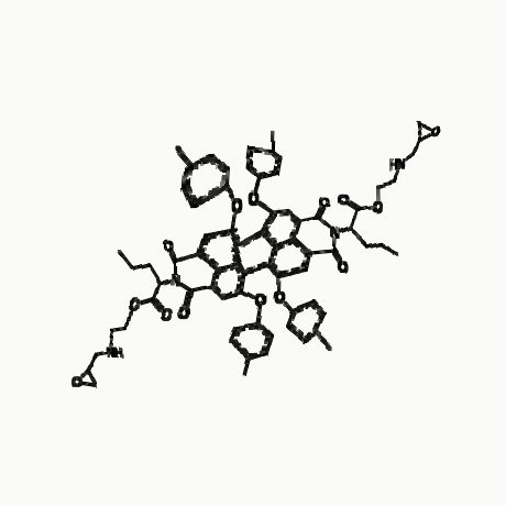 CCCC(C(=O)OCCNCC1CO1)N1C(=O)c2cc(Oc3ccc(C)cc3)c3c4c(Oc5ccc(C)cc5)cc5c6c(cc(Oc7ccc(C)cc7)c(c7c(Oc8ccc(C)cc8)cc(c2c37)C1=O)c64)C(=O)N(C(CCC)C(=O)OCCNCC1CO1)C5=O